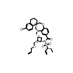 C=CCOC[C@@H]1CC[C@H]1CN1C[C@@]2(CCCc3cc(Cl)ccc32)COc2ccc(C(=O)NS(=O)(=O)[C@H](C=C)CC)cc21